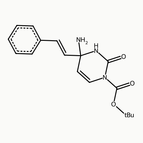 CC(C)(C)OC(=O)N1C=CC(N)(/C=C/c2ccccc2)NC1=O